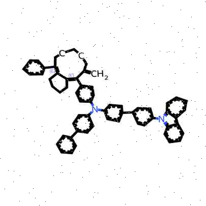 C=C1CCCCC/C(c2ccccc2)=C2/CCCC/C2=C/1c1ccc(N(c2ccc(-c3ccccc3)cc2)c2ccc(-c3ccc(-n4c5ccccc5c5ccccc54)cc3)cc2)cc1